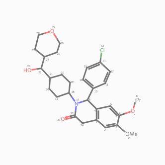 COc1cc2c(cc1OC(C)C)C(c1ccc(Cl)cc1)N(C1CCC(C(O)C3CCOCC3)CC1)C(=O)C2